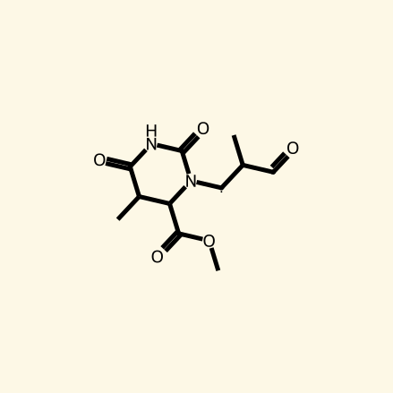 COC(=O)C1C(C)C(=O)NC(=O)N1[CH]C(C)C=O